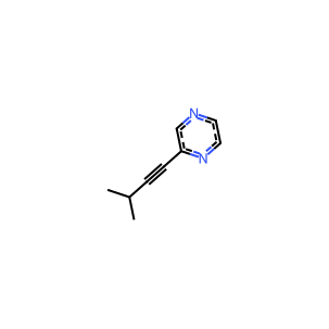 CC(C)C#Cc1cnccn1